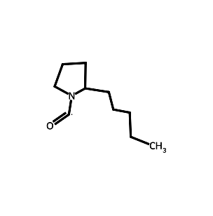 CCCCCC1CCCN1[C]=O